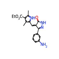 CCOC(=O)c1c(C)[nH]c(C=C2C(=O)NN=C2c2cccc(N)c2)c1C